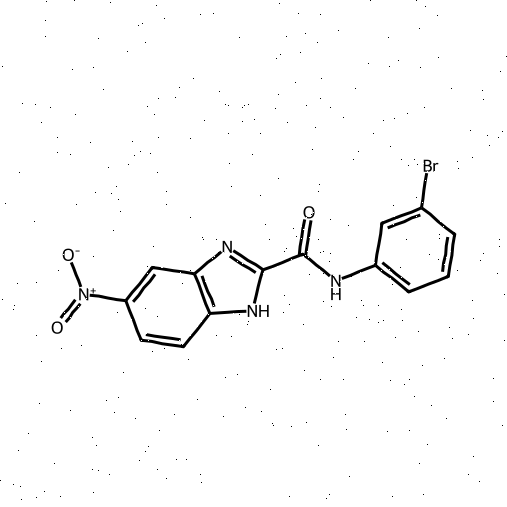 O=C(Nc1cccc(Br)c1)c1nc2cc([N+](=O)[O-])ccc2[nH]1